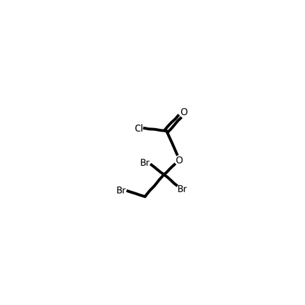 O=C(Cl)OC(Br)(Br)CBr